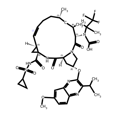 COc1ccc2nc(C(C)C)c(O[C@@H]3C[C@H]4C(=O)N[C@]5(C(=O)NS(=O)(=O)C6CC6)C[C@H]5/C=C\CC[C@H](C)C[C@@H](C)[C@H](N(C(=O)O)C(C)(C)C(F)(F)F)C(=O)N4C3)nc2c1